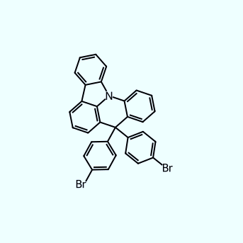 Brc1ccc(C2(c3ccc(Br)cc3)c3ccccc3-n3c4ccccc4c4cccc2c43)cc1